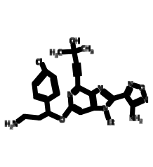 CCn1c(-c2nonc2N)nc2c(C#CC(C)(C)O)nc(OC(CCN)c3ccc(Cl)cc3)cc21